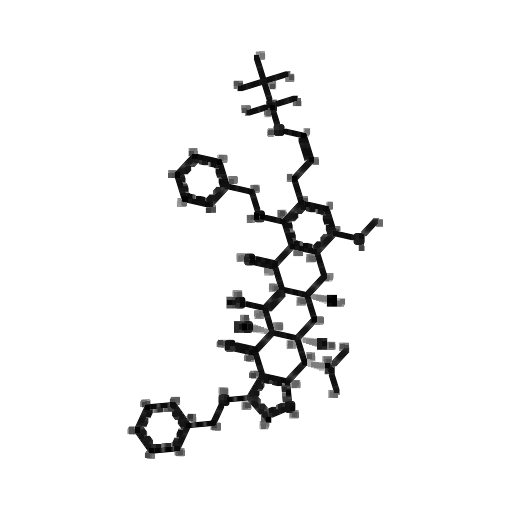 COc1cc(C/C=C\O[Si](C)(C)C(C)(C)C)c(OCc2ccccc2)c2c1C[C@H]1C[C@H]3[C@H](N(C)C)c4onc(OCc5ccccc5)c4C(=O)[C@@]3(O)C(O)=C1C2=O